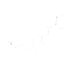 C=C(C)C(=O)OCCOS(=O)(=O)OCC[N+](C)(C)C